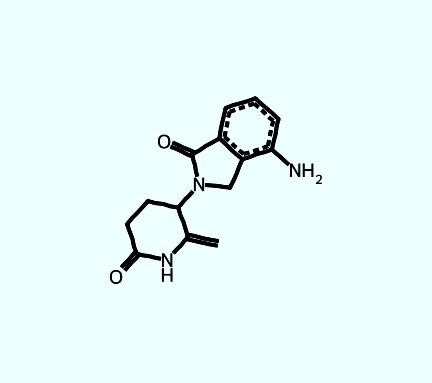 C=C1NC(=O)CCC1N1Cc2c(N)cccc2C1=O